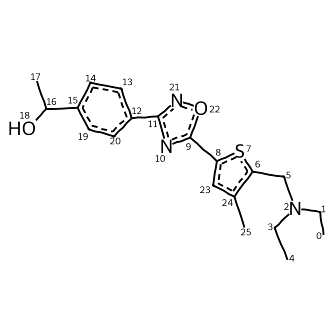 CCN(CC)Cc1sc(-c2nc(-c3ccc(C(C)O)cc3)no2)cc1C